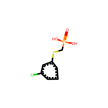 O=P(O)(O)CSc1cccc(Cl)c1